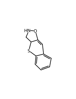 C1=C2ONCC2Sc2ccccc21